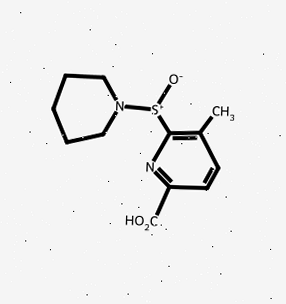 Cc1ccc(C(=O)O)nc1[S+]([O-])N1CCCCC1